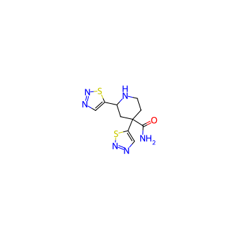 NC(=O)C1(c2cnns2)CCNC(c2cnns2)C1